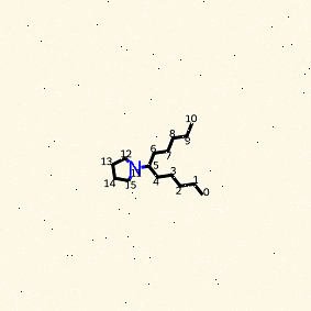 CCCCCC(CCCCC)N1CCCC1